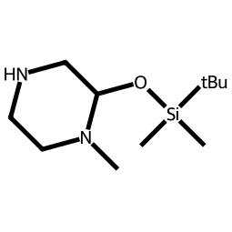 CN1CCNCC1O[Si](C)(C)C(C)(C)C